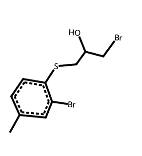 Cc1ccc(SCC(O)CBr)c(Br)c1